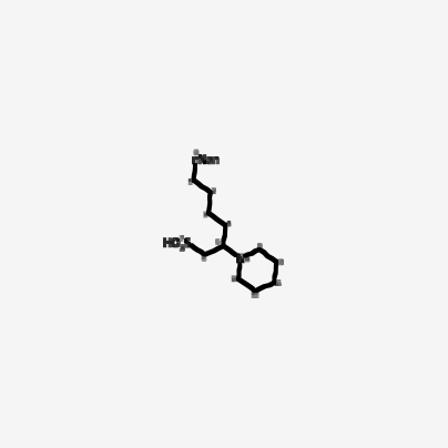 CCCCCCCCCCCCCC(CS(=O)(=O)O)N1CCCCC1